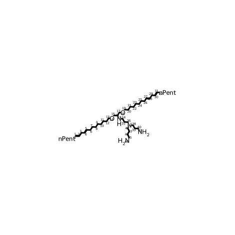 CCCCCC=CCC=CCCCCCCCCOCC(COCCCCCCCCC=CCC=CCCCCC)NCCCN(CCCN)CCCCN